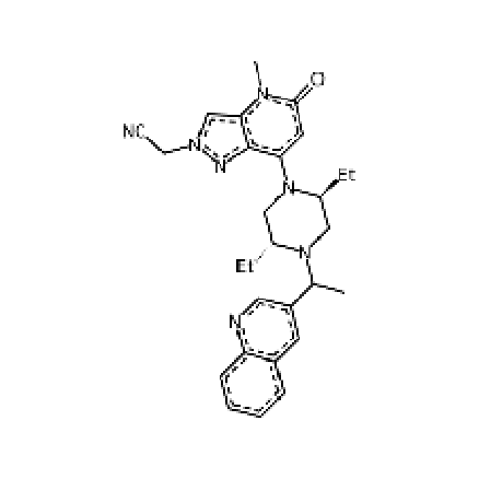 CC[C@H]1CN(C(C)c2cnc3ccccc3c2)[C@H](CC)CN1c1cc(=O)n(C)c2cn(CC#N)nc12